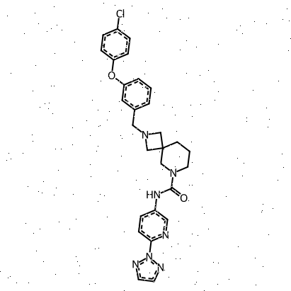 O=C(Nc1ccc(-n2nccn2)nc1)N1CCCC2(CN(Cc3cccc(Oc4ccc(Cl)cc4)c3)C2)C1